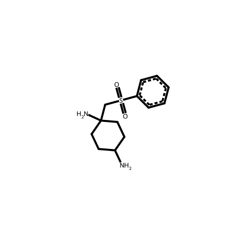 NC1CCC(N)(CS(=O)(=O)c2ccccc2)CC1